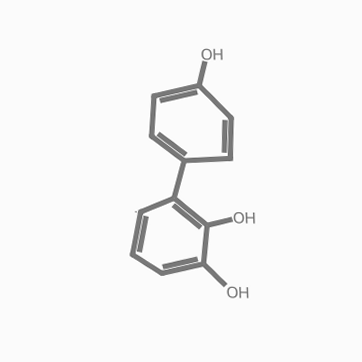 Oc1ccc(-c2[c]ccc(O)c2O)cc1